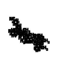 C=N/C(=C(\C=C/C)COC(=O)CN(C)C(=O)OC(C)OC(=O)N(C)c1ncccc1COC(=O)CNC)N(C)C(=O)OC(C)[n+]1cnn(CC(O)(c2cc(F)ccc2F)[C@@H](C)c2nc(-c3ccc(C#N)cc3)cs2)c1